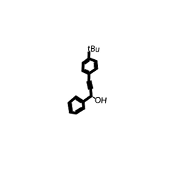 CC(C)(C)c1ccc(C#C[C@H](O)c2ccccc2)cc1